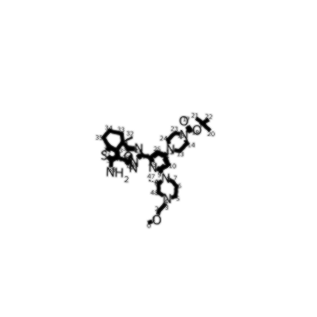 COCCN1CCCN(c2cc(N3CCN(C(=O)OC(C)(C)C)CC3)cc(-c3noc([C@@]4(C)CCCc5sc(N)c(C#N)c54)n3)n2)[C@@H](C)C1